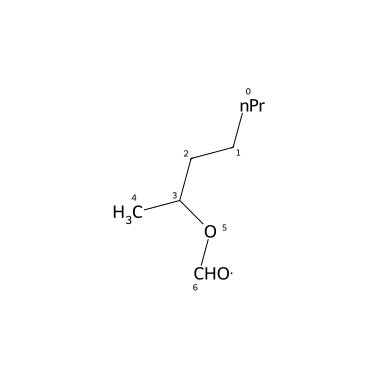 CCCCCC(C)O[C]=O